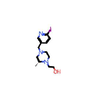 C[C@@H]1CN(Cc2ccc(I)nc2)CCN1CCO